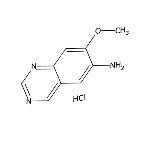 COc1cc2ncncc2cc1N.Cl